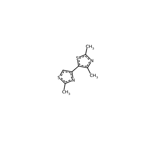 Cc1nc(-c2sc(C)nc2C)cs1